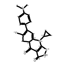 CN(C)c1ccc(C2=C(F)CC3C(=O)c4c(s[nH]c4=O)N(C4CC4)C3=C2)cc1